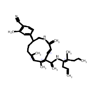 C=CC/C(NC(=C)C1=C(C)/C=C(\C)CCC(c2ccc(C#N)c(C)c2)CNC(=C)\C=C\1)=C(/C)CCC